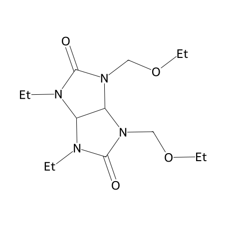 CCOCN1C(=O)N(CC)C2C1N(COCC)C(=O)N2CC